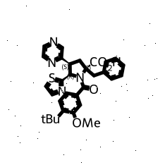 COc1cc(C(=O)N2[C@@H](c3nccs3)[C@@H](c3cnccn3)C[C@]2(Cc2ccccc2)C(=O)O)ccc1C(C)(C)C